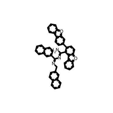 N/C(=N\C(=N/Cc1ccc2ccccc2c1)c1ccc2ccccc2c1)c1c(-c2ccc3c(c2)oc2ccccc23)ccc2oc3ccccc3c12